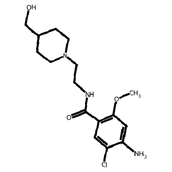 COc1cc(N)c(Cl)cc1C(=O)NCCN1CCC(CO)CC1